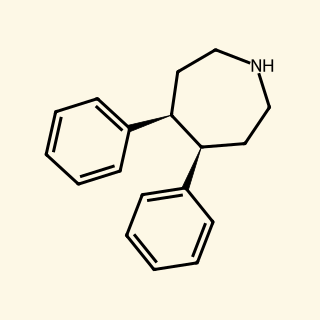 c1ccc([C@H]2CCNCC[C@H]2c2ccccc2)cc1